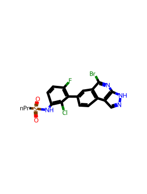 CCCS(=O)(=O)Nc1ccc(F)c(-c2ccc3c(c2)c(Br)nc2[nH]ncc23)c1Cl